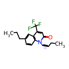 CC/C=C\n1c(=O)cc(C(F)(F)F)c2cc(CCC)ccc21